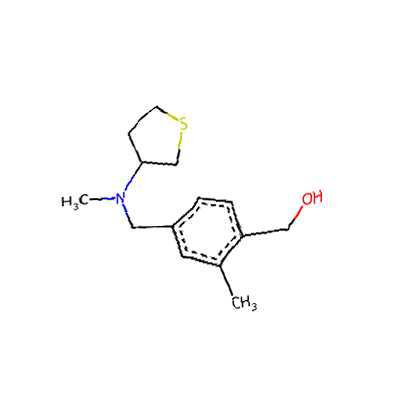 Cc1cc(CN(C)C2CCSC2)ccc1CO